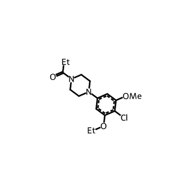 CCOc1cc(N2CCN(C(=O)CC)CC2)cc(OC)c1Cl